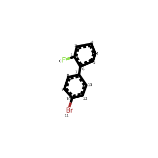 Fc1ccccc1-c1ccc(Br)cc1